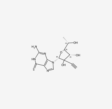 C#CC1(O)[C@@H](O)[C@@H]([C@H](C)O)O[C@H]1n1cnc2c(=S)[nH]c(N)nc21